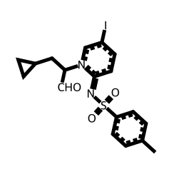 Cc1ccc(S(=O)(=O)N=c2ccc(I)cn2C(C=O)CC2CC2)cc1